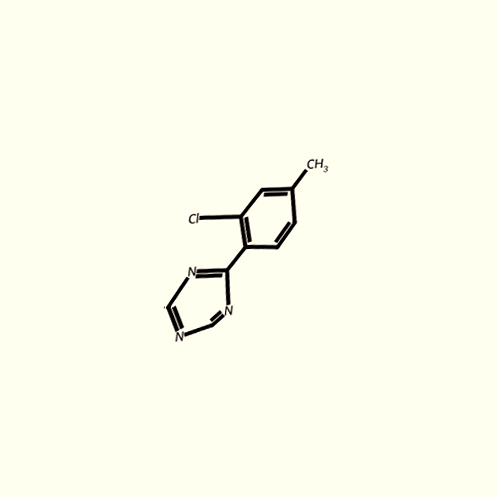 Cc1ccc(-c2n[c]ncn2)c(Cl)c1